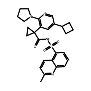 Cc1ccc2c(S(=O)(=O)NC(=O)C3(c4cc(C5CCC5)cnc4N4CCCC4)CC3)cccc2n1